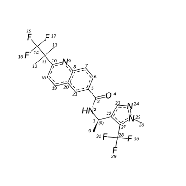 C[C@@H](NC(=O)c1ccc2nc(C(C)(C)C(F)(F)F)ccc2c1)c1cnn(C)c1C(F)(F)F